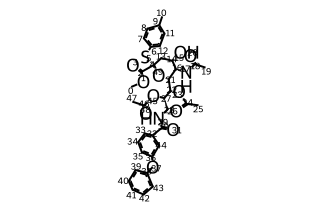 COC(=O)[C@@]1(Sc2ccc(C)cc2)C[C@H](O)[C@@H](NC(C)=O)[C@H]([C@H](OC(C)=O)[C@@H](CNC(=O)c2cccc(Oc3ccccc3)c2)OC(C)=O)O1